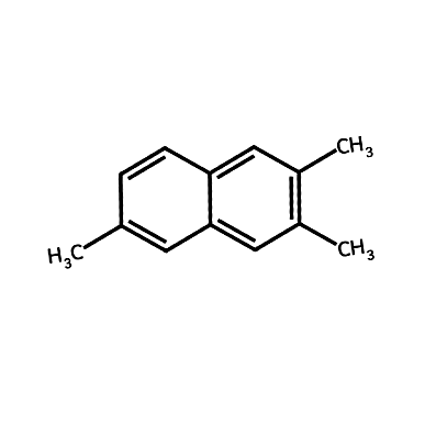 Cc1ccc2cc(C)c(C)cc2c1